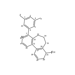 Cc1cc(C)cc(-c2nccc3c2CCCC2=C3C=CCC2F)c1